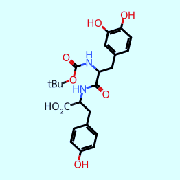 CC(C)(C)OC(=O)NC(Cc1ccc(O)c(O)c1)C(=O)NC(Cc1ccc(O)cc1)C(=O)O